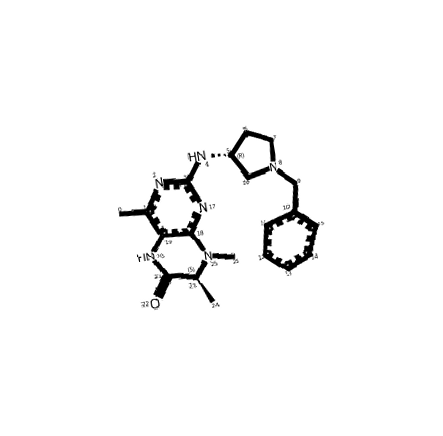 Cc1nc(N[C@@H]2CCN(Cc3ccccc3)C2)nc2c1NC(=O)[C@H](C)N2C